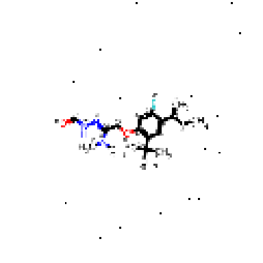 C=C(CC)c1cc(C(C)(C)C)c(OC/C(=N/NC=O)N(C)C)cc1F